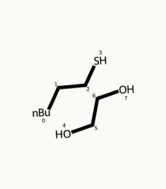 CCCCCCS.OCCO